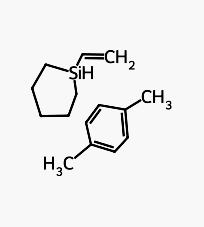 C=C[SiH]1CCCCC1.Cc1ccc(C)cc1